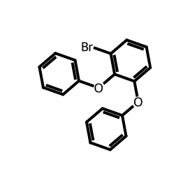 Brc1cccc(Oc2ccccc2)c1Oc1ccccc1